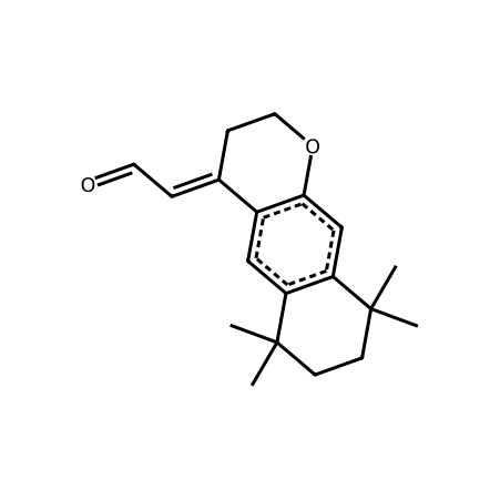 CC1(C)CCC(C)(C)c2cc3c(cc21)OCCC3=CC=O